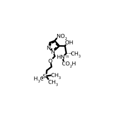 C[C@H](NC(=O)O)C(O)c1c([N+](=O)[O-])cnn1COCC[Si](C)(C)C